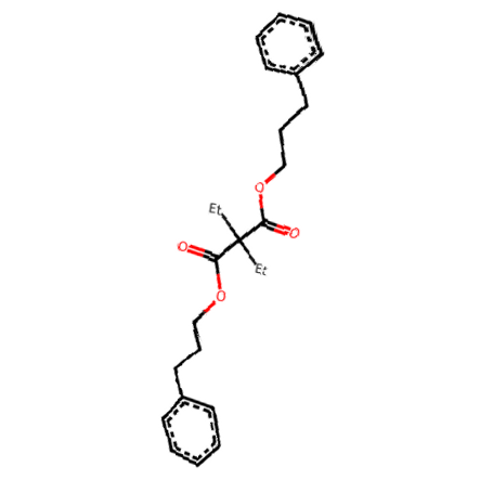 CCC(CC)(C(=O)OCCCc1ccccc1)C(=O)OCCCc1ccccc1